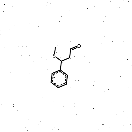 CSC(CC=O)c1ccccc1